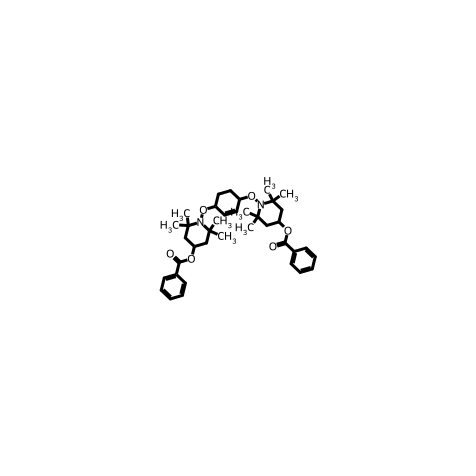 CC1(C)CC(OC(=O)c2ccccc2)CC(C)(C)N1OC1C=CC(ON2C(C)(C)CC(OC(=O)c3ccccc3)CC2(C)C)CC1